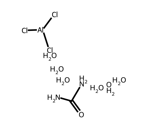 NC(N)=O.O.O.O.O.O.O.[Cl][Al]([Cl])[Cl]